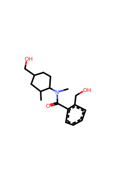 CC1CC(CO)CCC1N(C)C(=O)c1ccccc1CO